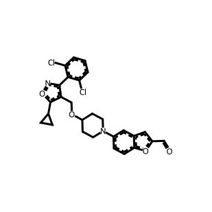 O=Cc1cc2cc(N3CCC(OCc4c(-c5c(Cl)cccc5Cl)noc4C4CC4)CC3)ccc2o1